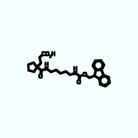 O=C(O)CCC1(C(=O)NCCCCCNC(=O)OCC2c3ccccc3-c3ccccc32)CCCC1